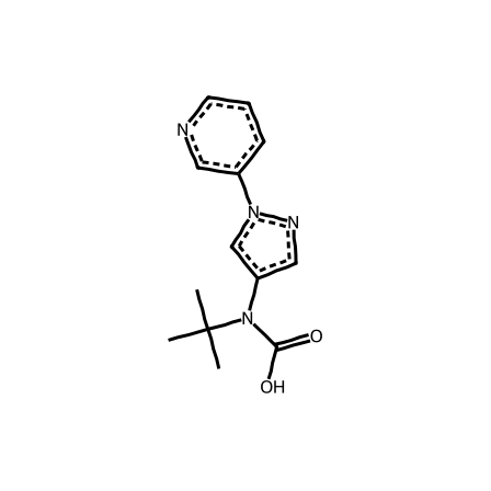 CC(C)(C)N(C(=O)O)c1cnn(-c2cccnc2)c1